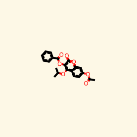 CC(=O)Oc1ccc2c(OC(C)C)c(OC(=O)c3ccccc3)c(=O)oc2c1